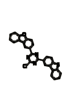 Clc1nc(-c2ccc3oc4ccccc4c3c2)nc(-c2ccc3sc4ccccc4c3c2)n1